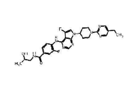 CCc1cnc(N2CCC(n3cc(F)c4c(Nc5ccc(C(=O)NC[C@@H](C)O)cc5F)ncnc43)CC2)nc1